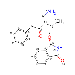 CCC(CN)C(=O)Cc1ccccc1.O=C1NC(=O)c2ccccc21